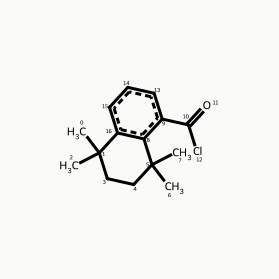 CC1(C)CCC(C)(C)c2c(C(=O)Cl)cccc21